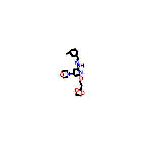 Cc1cccc(C=NNc2cc(N3CCOCC3)cc(OCCC3OCCO3)n2)c1